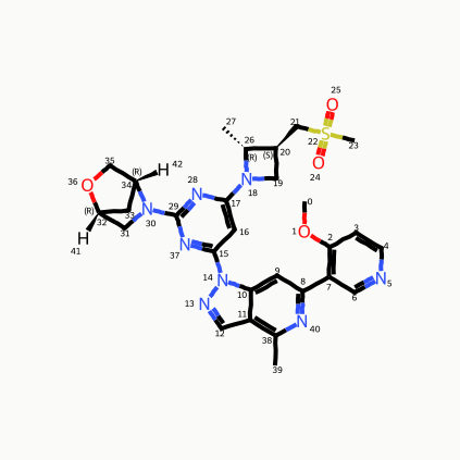 COc1ccncc1-c1cc2c(cnn2-c2cc(N3C[C@H](CS(C)(=O)=O)[C@H]3C)nc(N3C[C@H]4C[C@@H]3CO4)n2)c(C)n1